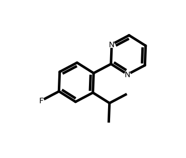 CC(C)c1cc(F)ccc1-c1ncccn1